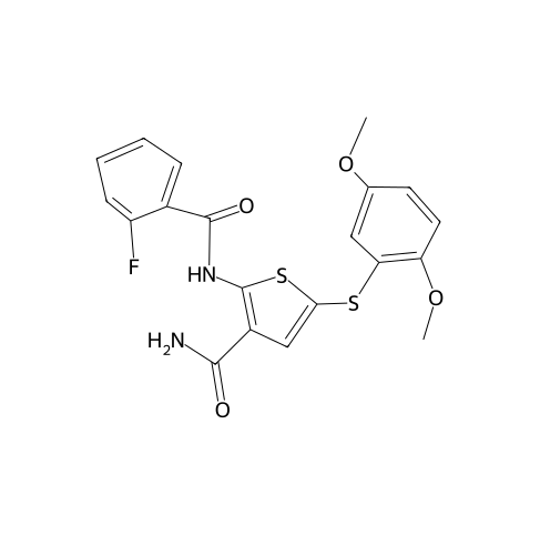 COc1ccc(OC)c(Sc2cc(C(N)=O)c(NC(=O)c3ccccc3F)s2)c1